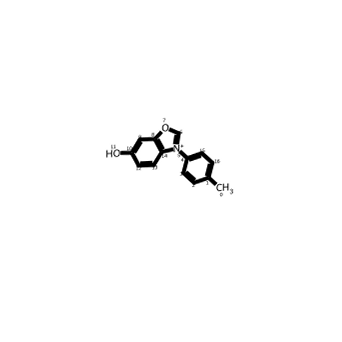 Cc1ccc(-[n+]2coc3cc(O)ccc32)cc1